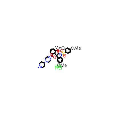 COc1ccc(S(=O)(=O)N2C(=O)C(OC(=O)N3CCN(C4CCN(C)CC4)CC3)(c3ccccc3C)c3cc(OC)ccc32)c(OC)c1.Cl.Cl